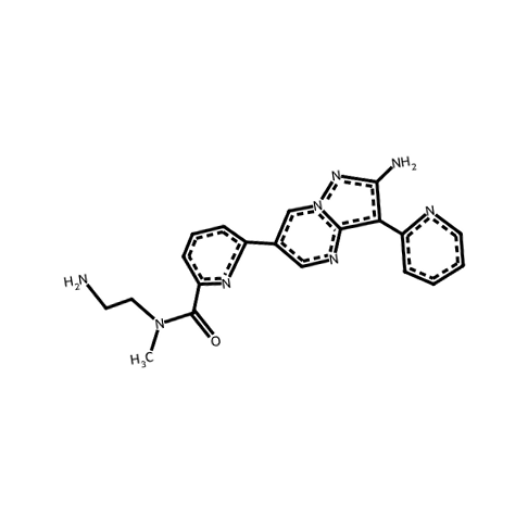 CN(CCN)C(=O)c1cccc(-c2cnc3c(-c4ccccn4)c(N)nn3c2)n1